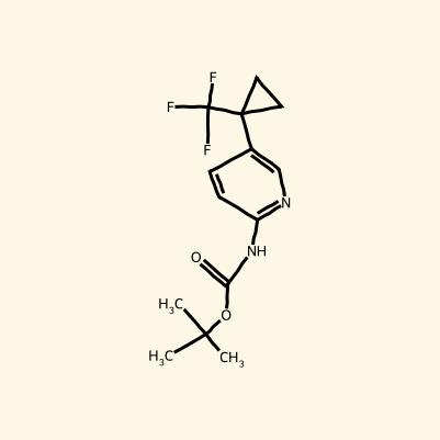 CC(C)(C)OC(=O)Nc1ccc(C2(C(F)(F)F)CC2)cn1